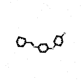 Brc1ccc(Oc2ccc(N=Cc3ccccc3)cc2)cc1